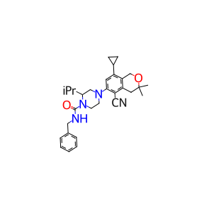 CC(C)C1CN(c2cc(C3CC3)c3c(c2C#N)CC(C)(C)OC3)CCN1C(=O)NCc1ccccc1